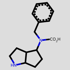 O=C(O)N(Cc1ccccc1)C1CCC2NCCC21